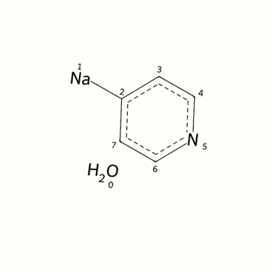 O.[Na][c]1ccncc1